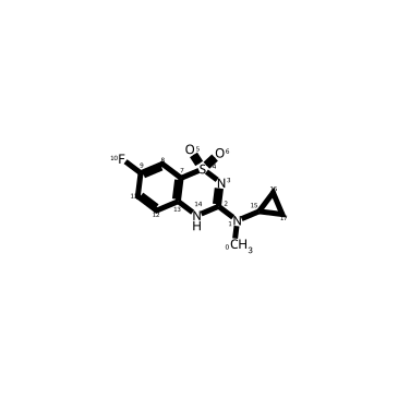 CN(C1=NS(=O)(=O)c2cc(F)ccc2N1)C1CC1